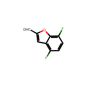 O=Cc1cc2c(F)ccc(F)c2o1